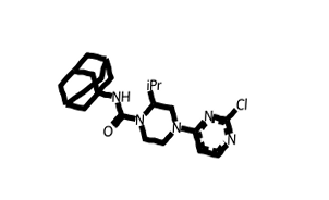 CC(C)C1CN(c2ccnc(Cl)n2)CCN1C(=O)NC12CC3CC(CC(C3)C1)C2